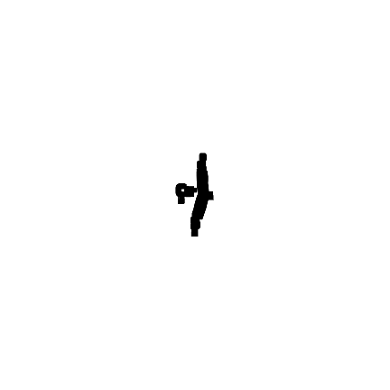 S=C=S.[Cu]